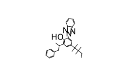 CCC(C)(C)C(C)(C)c1cc(C(C)Cc2ccccc2)c(O)c(-n2nc3ccccc3n2)c1